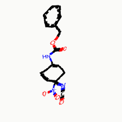 O=C=NC1([N+](=O)[O-])C=CC(NC(=O)OCc2ccccc2)=CC1